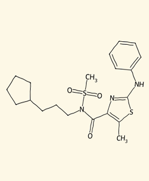 Cc1sc(Nc2ccccc2)nc1C(=O)N(CCCC1CCCC1)S(C)(=O)=O